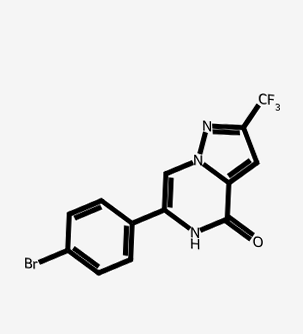 O=c1[nH]c(-c2ccc(Br)cc2)cn2nc(C(F)(F)F)cc12